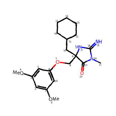 COc1cc(OC)cc(OCC2(CC3CCCCC3)NC(=N)N(C)C2=O)c1